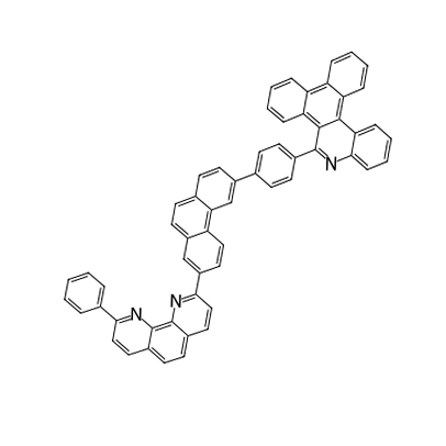 c1ccc(-c2ccc3ccc4ccc(-c5ccc6c(ccc7ccc(-c8ccc(-c9nc%10ccccc%10c%10c%11ccccc%11c%11ccccc%11c9%10)cc8)cc76)c5)nc4c3n2)cc1